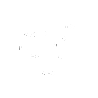 CCCCO[Si](O)(OOC)OOC.P